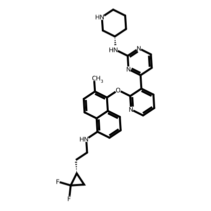 Cc1ccc2c(NCC[C@@H]3CC3(F)F)cccc2c1Oc1ncccc1-c1ccnc(N[C@H]2CCCNC2)n1